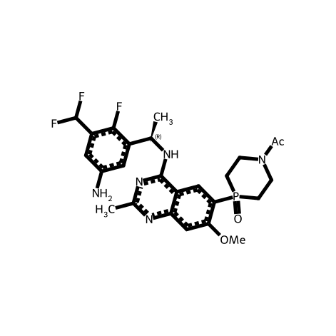 COc1cc2nc(C)nc(N[C@H](C)c3cc(N)cc(C(F)F)c3F)c2cc1P1(=O)CCN(C(C)=O)CC1